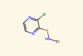 CCNSc1nccnc1Br